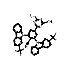 Cc1nc(C)nc(-c2cc(-n3c4ccccc4c4ccc(C(F)(F)F)cc43)c(C#N)c(-n3c4ccccc4c4ccc(C(F)(F)F)cc43)c2)n1